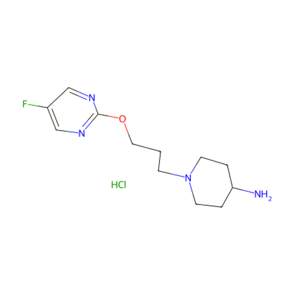 Cl.NC1CCN(CCCOc2ncc(F)cn2)CC1